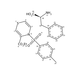 CCOC(=O)C1=CSC=CN1S(=O)(=O)c1ccc(C)cc1.N[C@@H](Cc1ccccc1)C(=O)O